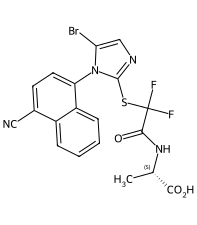 C[C@H](NC(=O)C(F)(F)Sc1ncc(Br)n1-c1ccc(C#N)c2ccccc12)C(=O)O